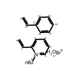 C=Cc1cccc[n+]1CCCC.C=Cc1ccccc1.O.[Br-]